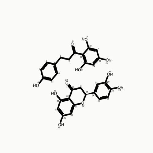 O=C(CCc1ccc(O)cc1)c1c(O)cc(O)cc1O.O=C1C[C@@H](c2ccc(O)c(O)c2)Oc2cc(O)cc(O)c21